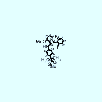 COc1nccn2c(-c3c(F)cccc3F)nc(Nc3ccc(C(C)(C)C(=O)OC(C)(C)C)cc3)c12